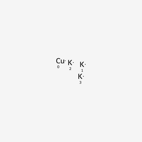 [Cu].[K].[K].[K]